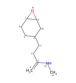 C=C(CCC1CCC2OC2C1)NC